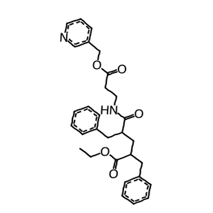 CCOC(=O)C(Cc1ccccc1)CC(Cc1ccccc1)C(=O)NCCC(=O)OCc1cccnc1